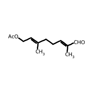 CC(=O)OC/C=C(\C)CC/C=C(\C)C=O